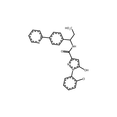 O=C(O)CC(NC(=O)c1cc(O)n(-c2ccccc2Cl)n1)c1ccc(-c2ccccn2)cc1